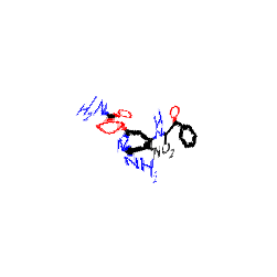 CC(Nc1cc(OC(N)=O)nc(N)c1[N+](=O)[O-])C(=O)c1ccccc1